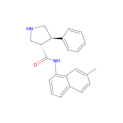 Cc1ccc2cccc(NC(=O)[C@@H]3CNC[C@H]3c3ccccc3)c2c1